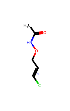 CC(=O)NOC/C=C/Cl